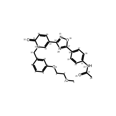 COCCOc1cccc(Cn2cc(-c3noc(-c4ccc(NC(C)=O)cc4)n3)ccc2=O)c1